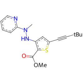 COC(=O)c1sc(C#CC(C)(C)C)cc1NN(C)c1ccccn1